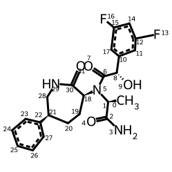 C[C@@H](C(N)=O)N(C(=O)[C@@H](O)c1cc(F)cc(F)c1)[C@H]1CC[C@@H](c2ccccc2)CNC1=O